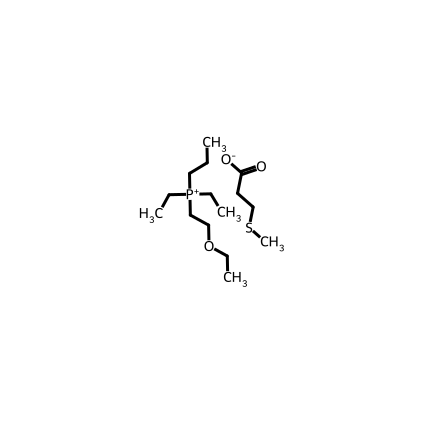 CCC[P+](CC)(CC)CCOCC.CSCCC(=O)[O-]